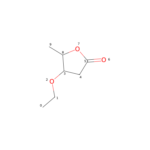 CCOC1CC(=O)OC1C